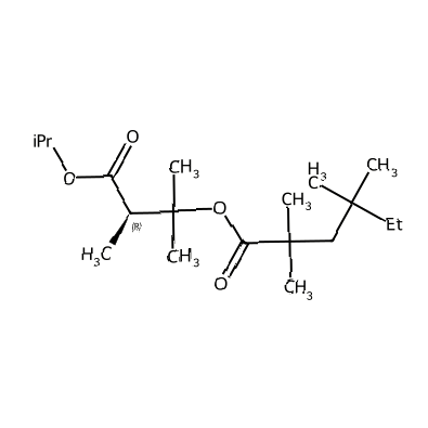 CCC(C)(C)CC(C)(C)C(=O)OC(C)(C)[C@@H](C)C(=O)OC(C)C